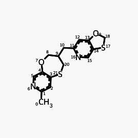 Cc1cc2c(cn1)OCC(Cc1cc3c(cn1)SCO3)CS2